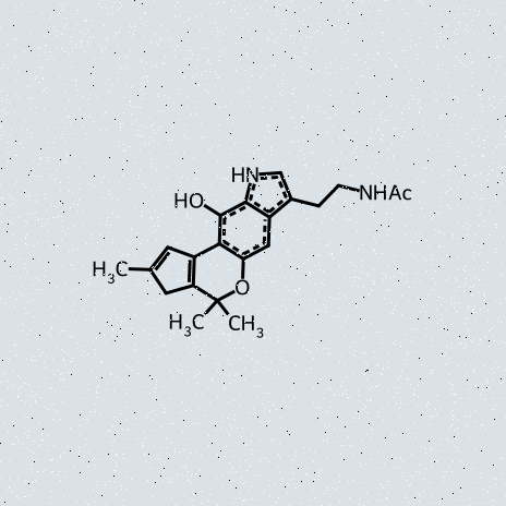 CC(=O)NCCc1c[nH]c2c(O)c3c(cc12)OC(C)(C)C1=C3C=C(C)C1